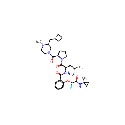 CC(C)C[C@@H](NC(=O)c1ccccc1O[C@H](F)C(=O)NC1(C)CC1)C(=O)N1CCC[C@@H]1C(=O)N1CCN(C)[C@@H](CC2CCC2)C1